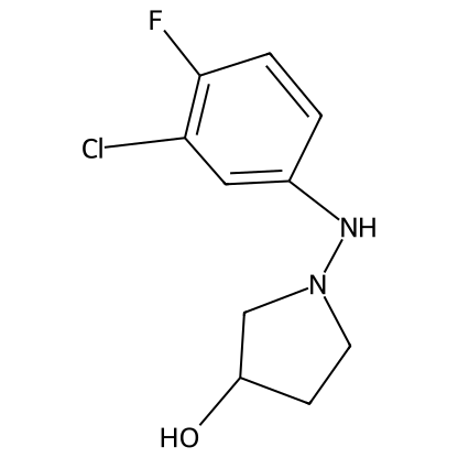 OC1CCN(Nc2ccc(F)c(Cl)c2)C1